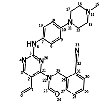 C=Cc1cnc(Nc2ccc(N3CCN(C)CC3)cc2)nc1N(C=O)Cc1ccccc1C#N